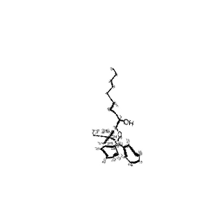 CCCCCCCC(O)CO[Si](c1ccccc1)(c1ccccc1)C(C)(C)C